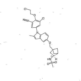 Cc1cc2cc(OCC34CC(C3)[C@@H](NS(C)(=O)=O)C4)ccc2n1-c1cc(Cl)c(OCCCl)c(C#N)c1